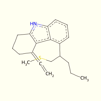 C=C=C1CCCc2[nH]c3cccc(C(CCC)CSC)c3c21